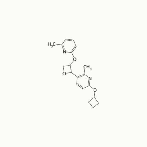 Cc1cccc(OC2COC2c2ccc(OC3CCC3)nc2C)n1